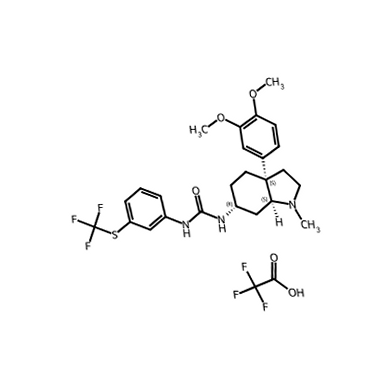 COc1ccc([C@@]23CC[C@@H](NC(=O)Nc4cccc(SC(F)(F)F)c4)C[C@@H]2N(C)CC3)cc1OC.O=C(O)C(F)(F)F